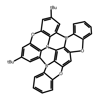 CC(C)(C)c1cc2c3c(c1)B1c4ccccc4Oc4cc5c6c(c41)N3c1c(cc(C(C)(C)C)cc1B6c1ccccc1O5)O2